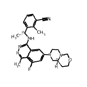 Cc1c(C#N)cccc1[C@@H](C)Nc1nnc(C)c2c(F)cc(N3CCN4COCC[C@@H]4C3)cc12